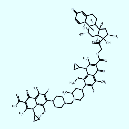 COc1c(N2CCN(CN3CCN(c4c(F)c(C)c5c(=O)c(C(=O)OCC(=O)C6(O)[C@H](C)C[C@H]7[C@@H]8CCC9=CC(=O)C=C[C@]9(C)[C@@]8(F)[C@@H](O)C[C@@]76C)c(C)n(C6CC6)c5c4OC)CC3C)CC2)c(F)c(C)c2c(=O)c(C(=O)O)c(C)n(C3CC3)c12